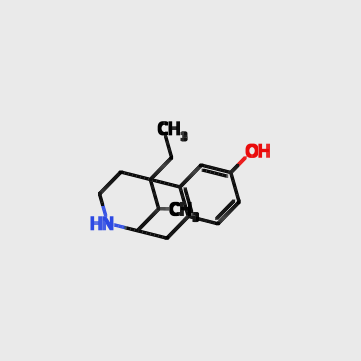 CCC12CCNC(Cc3ccc(O)cc31)C2C